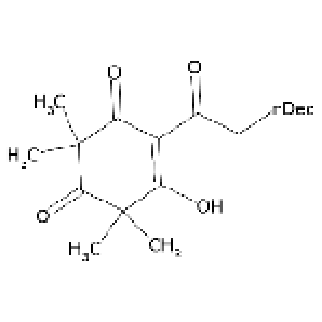 CCCCCCCCCCCC(=O)C1=C(O)C(C)(C)C(=O)C(C)(C)C1=O